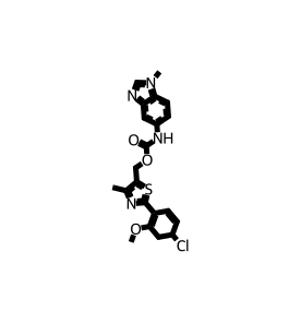 COC1=C(c2nc(C)c(COC(=O)Nc3ccc4c(c3)ncn4C)s2)C=CC(Cl)C1